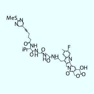 CSc1ncc(C#CCCCC(=O)NC(C(=O)NCC(=O)NCC(=O)NCCCc2c3c(nc4cc(F)c(C)cc24)-c2cc4c(c(=O)n2C3)COC(=O)[C@H]4O)C(C)C)cn1